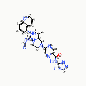 CC(C)C1CN(c2cnc(C(=O)Nc3nnc[nH]3)cn2)CCN1/C(=N\C#N)Nc1cccc2ncccc12